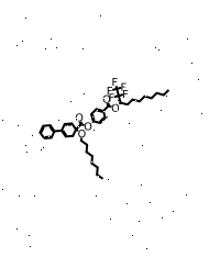 CCCCCCCCOC1(C(=O)Oc2ccc(C(=O)OC(CCCCCCCC)C(F)(F)C(F)(F)F)cc2)C=CC(c2ccccc2)=CC1